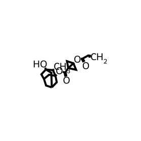 C=CC(=O)OC12CC1(C(=O)OC13CC4CC(CC(O)(C4)C1C)C3)C2